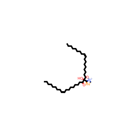 CCCCCCCC/C=C\CCCCCCCC(=O)C(O)(C(=O)CCCCCCC/C=C\CCCCCCCC)C([PH-])[N+](C)(C)C